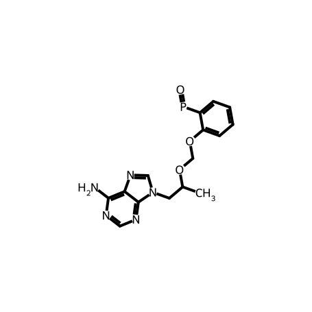 CC(Cn1cnc2c(N)ncnc21)OCOc1ccccc1P=O